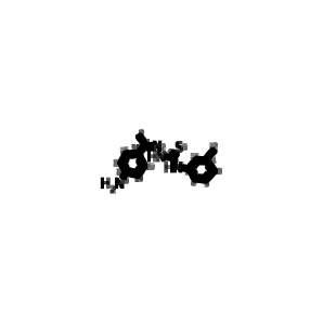 CC(=NNC(=S)Nc1cccc(C)c1)c1ccc(N)cc1